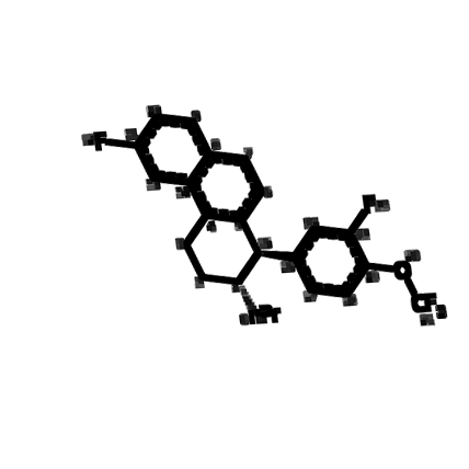 CCC[C@@H]1CCc2c(ccc3ccc(F)cc23)[C@H]1c1ccc(OC(F)(F)F)c(F)c1